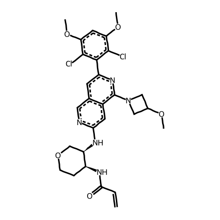 C=CC(=O)N[C@H]1CCOC[C@H]1Nc1cc2c(N3CC(OC)C3)nc(-c3c(Cl)c(OC)cc(OC)c3Cl)cc2cn1